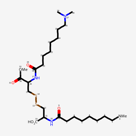 CNCCCCCCCC(=O)NC(CSSCC(NC(=O)CCCCCCCN(C)C)C(=O)OC)C(=O)O